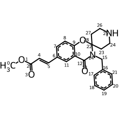 COC(=O)C=Cc1ccc2c(c1)C(=O)N(Cc1ccccc1)C1(CCNCC1)O2